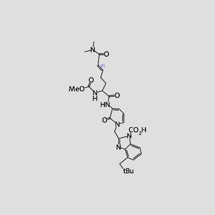 COC(=O)NC(CC/C=C/C(=O)N(C)C)C(=O)Nc1cccn(Cc2nc3c(CC(C)(C)C)cccc3n2C(=O)O)c1=O